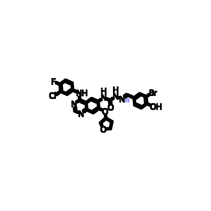 O=C(N/N=C/c1ccc(O)c(Br)c1)Nc1cc2c(Nc3ccc(F)c(Cl)c3)ncnc2cc1OC1CCOC1